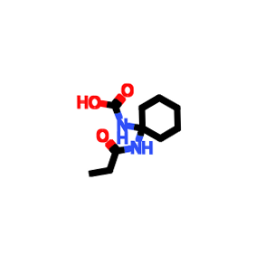 CCC(=O)NC1(NC(=O)O)CCCCC1